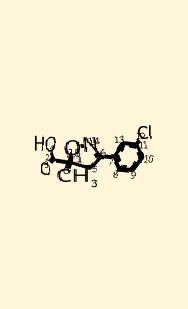 CC1(C(=O)O)CC(c2cccc(Cl)c2)=NO1